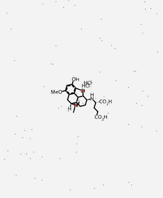 COc1cc(O)c2c3c1C[C@@H]1[C@@H]4CC[C@H](N[C@@H](CCC(=O)O)C(=O)O)[C@H](O2)[C@]34CCN1C.Cl.Cl